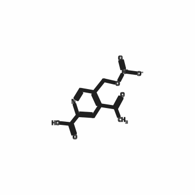 CC(=O)c1cc(C(=O)O)ncc1CO[N+](=O)[O-]